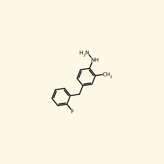 Cc1cc(Cc2ccccc2F)ccc1NN